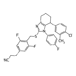 Cc1cc(C2CCCc3nc(SCc4c(F)cc(CCC#N)cc4F)n(-c4ccc(F)cc4)c32)ccc1Cl